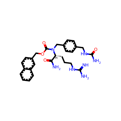 N=C(N)NCCC[C@H](C(N)=O)N(Cc1ccc(CNC(N)=O)cc1)C(=O)OCc1ccc2ccccc2c1